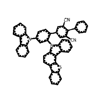 N#Cc1cc(-c2ccc(-n3c4ccccc4c4ccccc43)cc2-n2c3ccccc3c3c4sc5ccccc5c4ccc32)cc(C#N)c1-c1ccccc1